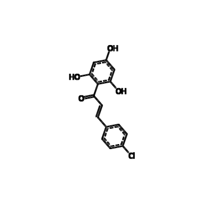 O=C(C=Cc1ccc(Cl)cc1)c1c(O)cc(O)cc1O